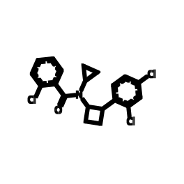 O=C(c1ccccc1Cl)N(C1CC1)C1CCC1c1ccc(Cl)cc1Cl